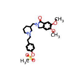 COc1cc2c(cc1OC)C(=O)N(CC1CCCN(CCc3ccc(OS(C)(=O)=O)cc3)C1)C2